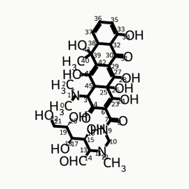 CN(C)C1C(=O)C(C(=O)NCN(C)C(C=O)[C@H](O)[C@@H](O)[C@@H](O)CO)=C(O)C2(O)C(O)=C3C(=O)C4C(O)=CC=CC4C(C)(O)C3=C(O)C12